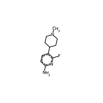 CN1CCC(c2ccc(N)nc2F)CC1